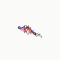 CC/C(=C/C(=O)c1ccccc1)NC(Cc1ccc(OCCc2nc(-c3ccc(C)cc3)oc2C)cc1)C(=O)O